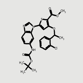 COC(=O)c1sc(-n2cnc3ccc(NC(=O)OC(C)(C)C)cc32)cc1OC(C)c1ccccc1Cl